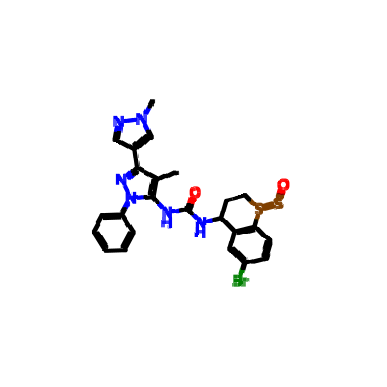 Cc1c(-c2cnn(C)c2)nn(-c2ccccc2)c1NC(=O)NC1CCS(=S=O)c2ccc(Br)cc21